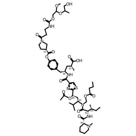 CCCC(=O)OCN(C(=O)[C@@H](NC(=O)[C@H]1CCCCN1C)[C@@H](C)CC)[C@H](C[C@@H](OC(C)=O)c1nc(C(=O)N[C@@H](Cc2ccc(OC(=O)[C@H]3CCN(C(=O)CCNC(=O)OCC(OC)OC(C)CO)C3)cc2)C[C@H](C)C(=O)O)cs1)C(C)C